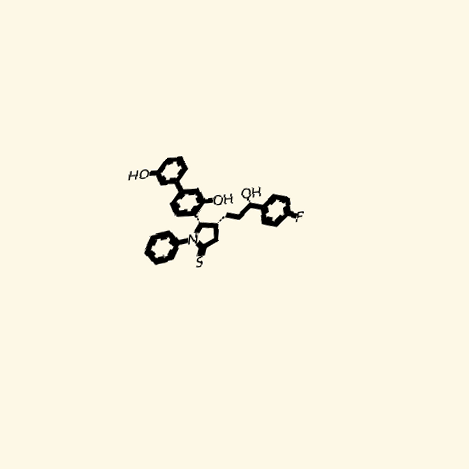 Oc1cccc(-c2ccc([C@@H]3[C@H](CC[C@H](O)c4ccc(F)cc4)CC(=S)N3c3ccccc3)c(O)c2)c1